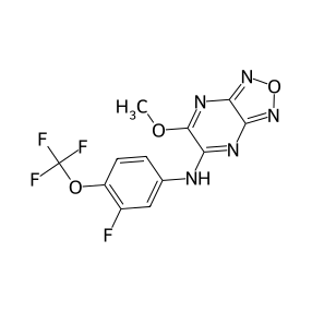 COc1nc2nonc2nc1Nc1ccc(OC(F)(F)F)c(F)c1